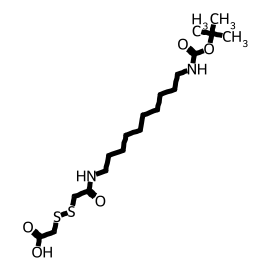 CC(C)(C)OC(=O)NCCCCCCCCCCNC(=O)CSSCC(=O)O